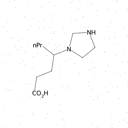 CCCC(CCC(=O)O)N1CCNC1